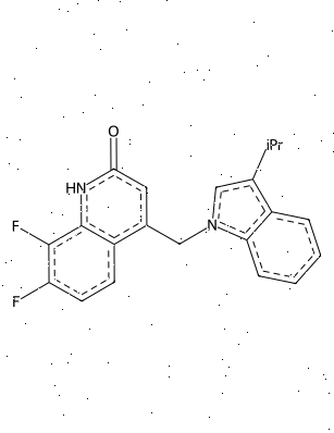 CC(C)c1cn(Cc2cc(=O)[nH]c3c(F)c(F)ccc23)c2ccccc12